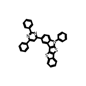 c1ccc(-c2cc(-c3ccc4c(c3)c3c5sc6ccccc6c5sc3n4-c3ccccc3)nc(-c3ccccc3)n2)cc1